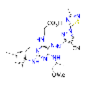 COCC(C)Nc1nc(Nc2c(C)cc(C)cc2C)nc(NCCC(=O)O)c1N=Nc1nn(-c2nc(C)ns2)cc1C#N